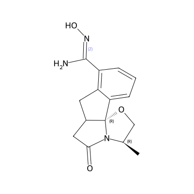 C[C@@H]1CO[C@@]23c4cccc(/C(N)=N/O)c4CC2CC(=O)N13